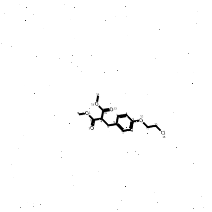 COC(=O)C(Cc1ccc(OCCCl)cc1)C(=O)OC